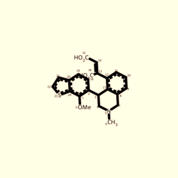 COc1c(C2CN(C)Cc3cccc(/C(=C/C(=O)O)C(=O)O)c32)ccc2ccsc12